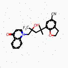 CC(C)(CC(O)(Cn1ccc(=O)c2ccccc21)C(F)(F)F)c1cc(C#N)cc2c1OCC2